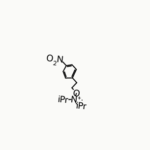 CC(C)[N+](OCCc1ccc([N+](=O)[O-])cc1)C(C)C